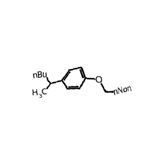 CCCCCCCCCCOc1ccc(C(C)CCCC)cc1